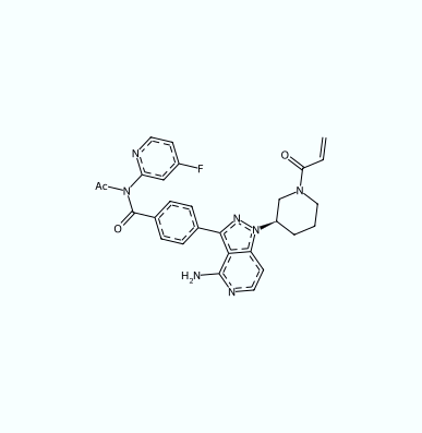 C=CC(=O)N1CCC[C@@H](n2nc(-c3ccc(C(=O)N(C(C)=O)c4cc(F)ccn4)cc3)c3c(N)nccc32)C1